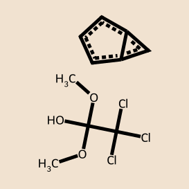 COC(O)(OC)C(Cl)(Cl)Cl.c1cc2cc-2c1